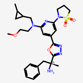 COCCN(CC1CC1C)c1cc(-c2nnc([C@](C)(N)Cc3ccccc3)o2)cc(N2CCCS2(=O)=O)n1